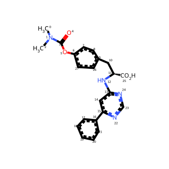 CN(C)C(=O)Oc1ccc(C[C@H](Nc2cc(-c3ccccc3)ncn2)C(=O)O)cc1